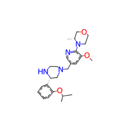 COc1cc(CN2CCN[C@@H](c3ccccc3OC(C)C)C2)cnc1N1CCOC[C@H]1C